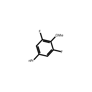 CCCc1cc(F)c(OC)c(F)c1